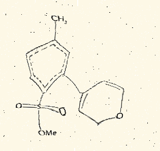 COS(=O)(=O)c1ccc(C)cc1C1=CCOC=C1